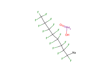 FC(F)(F)C(F)(F)C(F)(F)C(F)(F)C(F)(F)C(F)(F)C(F)(F)[C](F)(F)[Na].O=[PH2]O